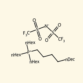 CCCCCCCCCCCCCC[P+](CCCCCC)(CCCCCC)CCCCCC.O=S(=O)([N-]S(=O)(=O)C(F)(F)F)C(F)(F)F